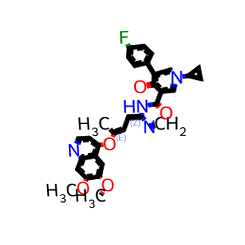 C=N/C(=C\C=C(/C)Oc1ccnc2cc(OC)c(OC)cc12)NC(=O)c1cn(C2CC2)cc(-c2ccc(F)cc2)c1=O